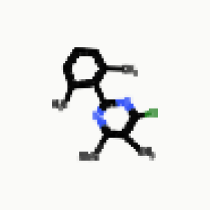 CNc1nc(-c2c(C)cccc2C)nc(Cl)c1C